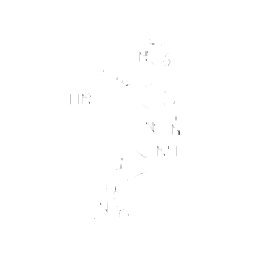 NS(=O)(=O)Cc1cccc(Nc2ncc3cc(-c4nccs4)c(OC4CCNCC4)cc3n2)c1